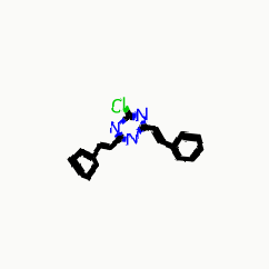 Clc1nc(/C=C/c2ccccc2)nc(/C=C/c2ccccc2)n1